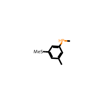 CPc1cc(C)cc(SC)c1